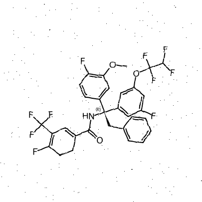 COc1cc([C@@](Cc2ccccc2)(NC(=O)C2=CC(C(F)(F)F)=C(F)CC2)c2cc(F)cc(OC(F)(F)C(F)F)c2)ccc1F